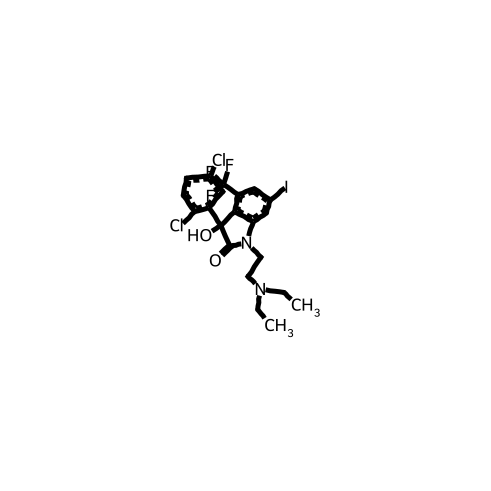 CCN(CC)CCN1C(=O)C(O)(c2cc(Cl)ccc2Cl)c2c1cc(I)cc2C(F)(F)F